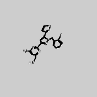 NCc1cc(N)nc(-c2cc(-c3ccon3)n(Cc3ccccc3F)n2)n1